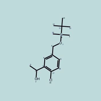 CC(O)c1cc(CO[Si](C)(C)C(C)(C)C)ccc1Cl